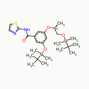 C[C@@H](CO[Si](C)(C)C(C)(C)C)Oc1cc(O[Si](C)(C)C(C)(C)C)cc(C(=O)Nc2nccs2)c1